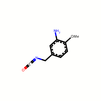 COc1ccc(CN=C=O)cc1N